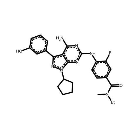 CCN(C)C(=O)c1ccc(Nc2nc(N)c3c(-c4cccc(O)c4)nn(C4CCCC4)c3n2)c(F)c1